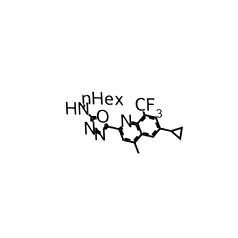 CCCCCCNc1nnc(-c2cc(C)c3cc(C4CC4)cc(C(F)(F)F)c3n2)o1